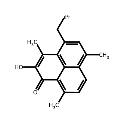 CC1=C(O)C(=O)c2c(C)ccc3c(C)cc(CC(C)C)c1c23